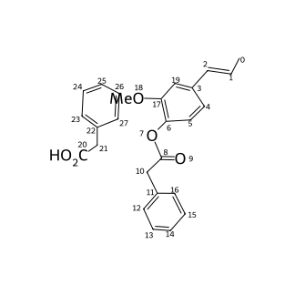 C/C=C/c1ccc(OC(=O)Cc2ccccc2)c(OC)c1.O=C(O)Cc1ccccc1